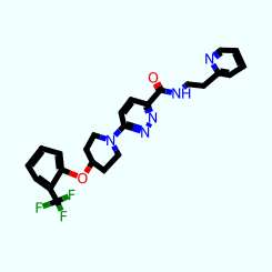 O=C(NCCc1ccccn1)c1ccc(N2CCC(Oc3ccccc3C(F)(F)F)CC2)nn1